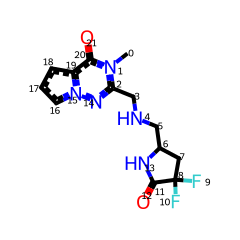 Cn1c(CNCC2CC(F)(F)C(=O)N2)nn2cccc2c1=O